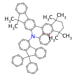 CC1(C)CCC(C)(C)c2cc(-c3cc4c(cc3N(c3ccccc3)c3cccc5c3-c3ccccc3C5(c3ccccc3)c3ccccc3)C(C)(C)c3ccccc3-4)ccc21